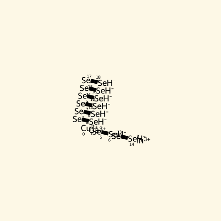 [Cu+2].[Ga+3].[In+3].[Se]=[SeH-].[Se]=[SeH-].[Se]=[SeH-].[Se]=[SeH-].[Se]=[SeH-].[Se]=[SeH-].[Se]=[SeH-].[Se]=[SeH-]